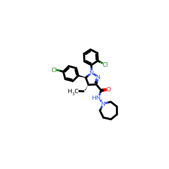 CC[C@H]1C(C(=O)NN2CCCCCC2)=NN(c2ccccc2Cl)[C@@H]1c1ccc(Cl)cc1